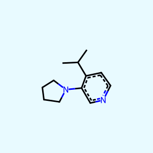 CC(C)c1ccncc1N1CCCC1